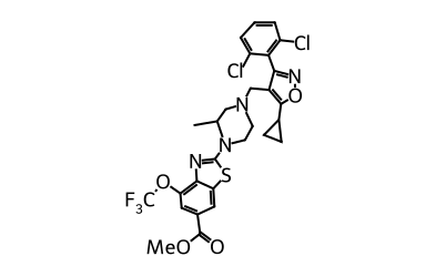 COC(=O)c1cc(OC(F)(F)F)c2nc(N3CCN(Cc4c(-c5c(Cl)cccc5Cl)noc4C4CC4)CC3C)sc2c1